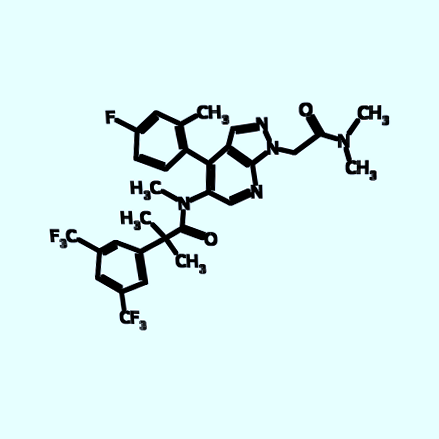 Cc1cc(F)ccc1-c1c(N(C)C(=O)C(C)(C)c2cc(C(F)(F)F)cc(C(F)(F)F)c2)cnc2c1cnn2CC(=O)N(C)C